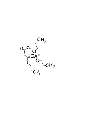 CCCCC(=O)CC(=O)[O-].CCC[O][Al+][O]CCC